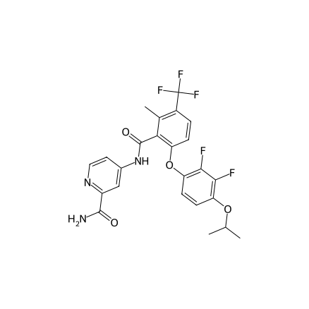 Cc1c(C(F)(F)F)ccc(Oc2ccc(OC(C)C)c(F)c2F)c1C(=O)Nc1ccnc(C(N)=O)c1